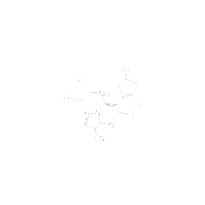 CC(C)[C@@H](CO)Nc1c(-c2cc(Cl)sc2Cl)c(Cl)nc2c(C#N)cnn12